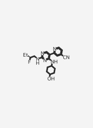 CC[C@H](F)CNc1ncc(-c2cc(C#N)ccn2)c(NC2CCC(O)CC2)n1